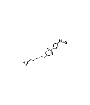 C=CCCCCCc1cnc(-c2ccc(N=C=S)cc2)nc1